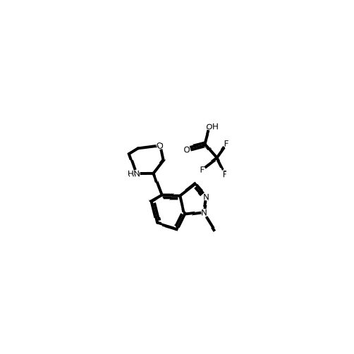 Cn1ncc2c(C3COCCN3)cccc21.O=C(O)C(F)(F)F